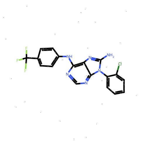 Nc1nc2c(Nc3ccc(C(F)(F)F)cc3)ncnc2n1-c1ccccc1Cl